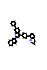 CC1CNc2c(cccc2-c2ccc(-c3cc(-c4ccc5ccccc5c4)nc4cc(-c5ccccc5)ccc34)cc2)C1